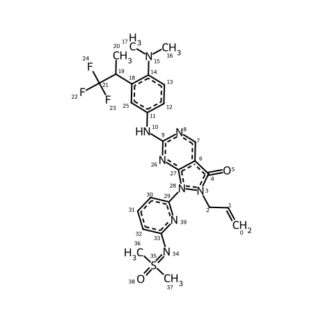 C=CCn1c(=O)c2cnc(Nc3ccc(N(C)C)c(C(C)C(F)(F)F)c3)nc2n1-c1cccc(N=S(C)(C)=O)n1